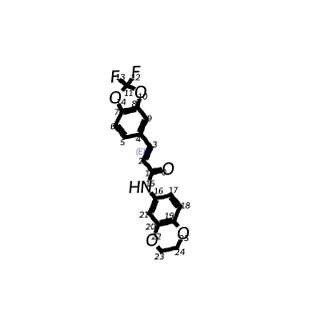 O=C(/C=C/c1ccc2c(c1)OC(F)(F)O2)Nc1ccc2c(c1)OCCO2